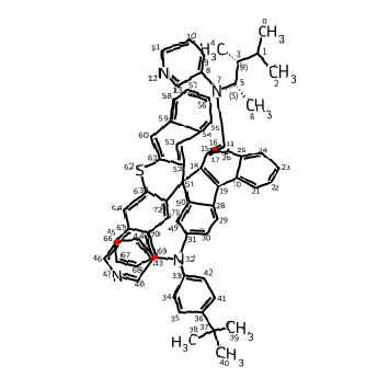 CC(C)[C@@H](C)[C@H](C)N(c1cccnc1)c1ccc2c3c(c4ccccc4c2c1)-c1ccc(N(c2ccc(C(C)(C)C)cc2)c2cccnc2)cc1C31c2cc3ccccc3cc2Sc2cc3ccccc3cc21